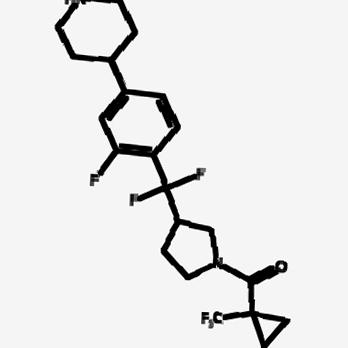 O=C(N1CCC(C(F)(F)c2ccc(C3CCNCC3)cc2F)C1)C1(C(F)(F)F)CC1